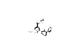 Cc1cc(OC(CCCC(F)(F)F)c2ccc(C(=O)NCCC=O)cc2)cc(C)c1-c1ccc(C(C)(C)C)cc1